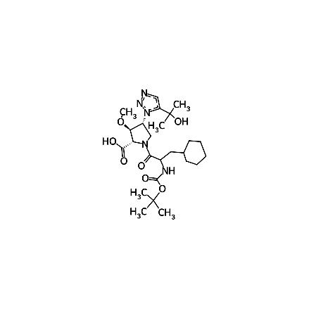 CO[C@@H]1[C@@H](C(=O)O)N(C(=O)C(CC2CCCCC2)NC(=O)OC(C)(C)C)C[C@H]1n1nncc1C(C)(C)O